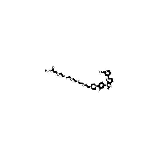 Cc1nc2ccc(-c3ccnc(N)c3)nc2n1-c1ccc(N2CCN(CCOCCOCCOCCOCCOCCC(N)=O)CC2)c(F)c1